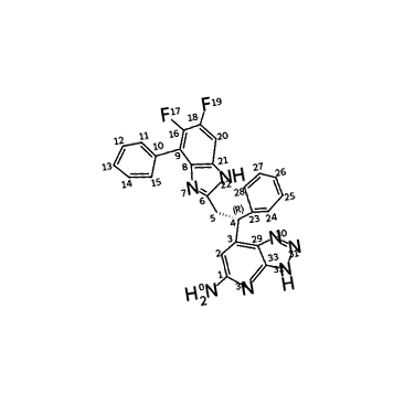 Nc1cc([C@H](Cc2nc3c(-c4ccccc4)c(F)c(F)cc3[nH]2)c2ccccc2)c2nn[nH]c2n1